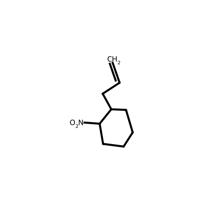 C=CCC1CCCCC1[N+](=O)[O-]